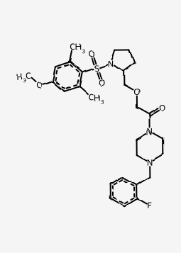 COc1cc(C)c(S(=O)(=O)N2CCCC2COCC(=O)N2CCN(Cc3ccccc3F)CC2)c(C)c1